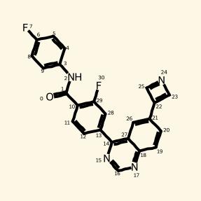 O=C(Nc1ccc(F)cc1)c1ccc(-c2ncnc3ccc(C4=CN=C4)cc23)cc1F